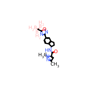 BC(B)(B)c1nc(-c2ccc3c(c2)CC[C@H]3NC(=O)c2cc(C)nn2C)no1